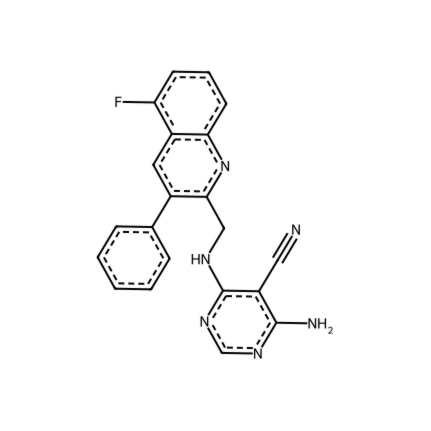 N#Cc1c(N)ncnc1NCc1nc2cccc(F)c2cc1-c1ccccc1